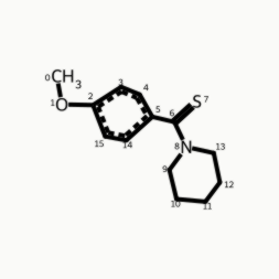 COc1ccc(C(=S)N2CCCCC2)cc1